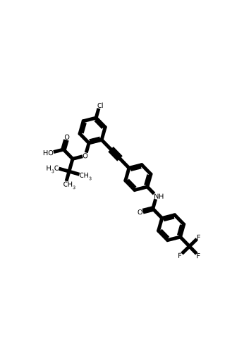 CC(C)(C)C(Oc1ccc(Cl)cc1C#Cc1ccc(NC(=O)c2ccc(C(F)(F)F)cc2)cc1)C(=O)O